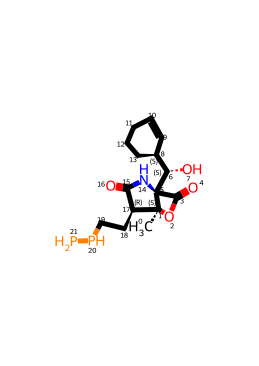 C[C@@]12OC(=O)[C@]1([C@@H](O)[C@@H]1C=CCCC1)NC(=O)[C@@H]2CCPP